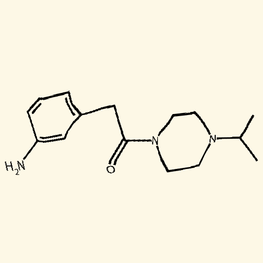 CC(C)N1CCN(C(=O)Cc2cccc(N)c2)CC1